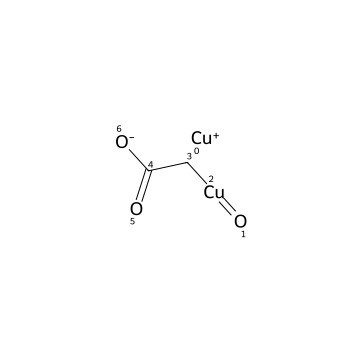 [Cu+].[O]=[Cu][CH2]C(=O)[O-]